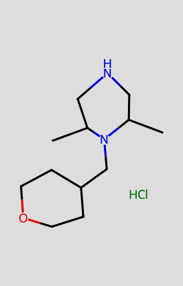 CC1CNCC(C)N1CC1CCOCC1.Cl